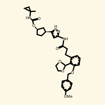 COc1ccc(COc2cccc(CCC(=O)Nc3cc([C@H]4CC[C@@H](OC(=O)NC5(C)CC5)C4)[nH]n3)c2C2OCCO2)cc1